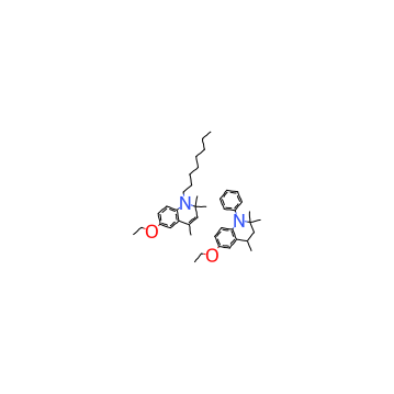 CCCCCCCCN1c2ccc(OCC)cc2C(C)=CC1(C)C.CCOc1ccc2c(c1)C(C)CC(C)(C)N2c1ccccc1